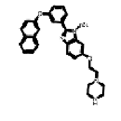 CCCCn1c(-c2cccc(Oc3ccc4ccccc4c3)c2)nc2ccc(OCCN3CCNCC3)cc21